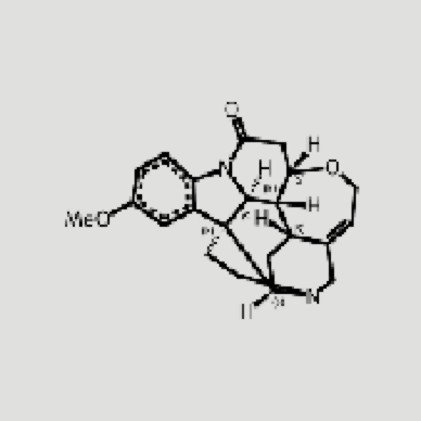 COc1ccc2c(c1)[C@@]13CCN4CC5=CCO[C@H]6CC(=O)N2[C@H]1[C@H]6[C@H]5C[C@H]43